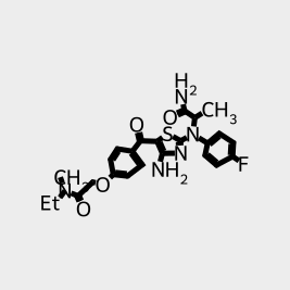 CCN(C)C(=O)COc1ccc(C(=O)c2sc(N(c3ccc(F)cc3)C(C)C(N)=O)nc2N)cc1